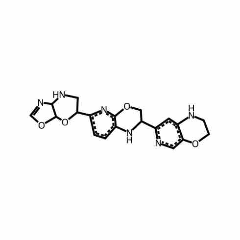 C1=NC2NCC(c3ccc4c(n3)OCC(c3cc5c(cn3)OCCN5)N4)OC2O1